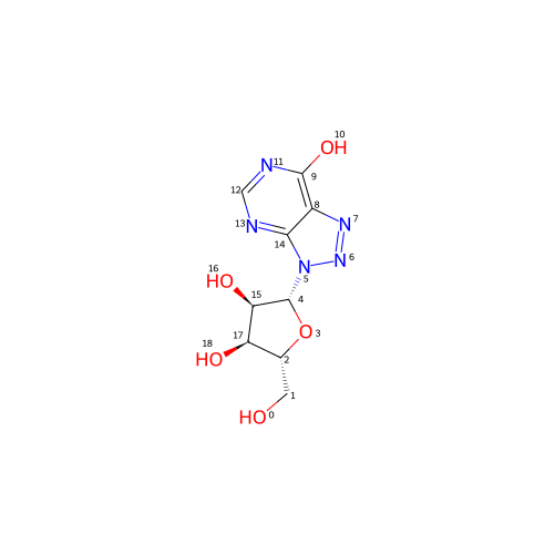 OC[C@H]1O[C@@H](n2nnc3c(O)ncnc32)[C@H](O)[C@@H]1O